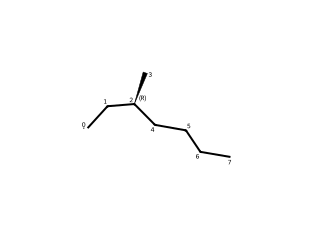 [CH2]C[C@@H](C)CCCC